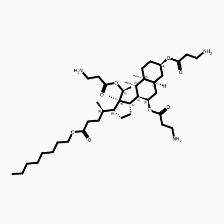 CCCCCCCCOC(=O)CC[C@@H](C)[C@H]1CC[C@@H]([C@@H]2[C@H](OC(=O)CCN)C[C@@H]3C[C@H](OC(=O)CCN)CC[C@]3(C)[C@H]2C)[C@]1(C)[C@H](C)OC(=O)CCN